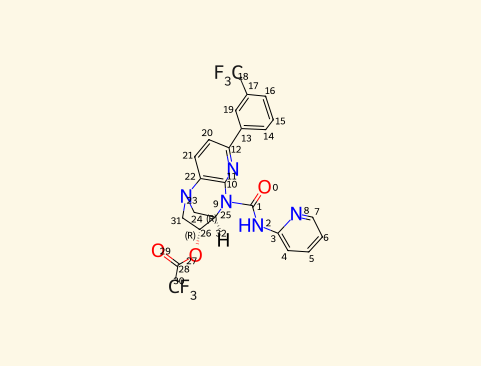 O=C(Nc1ccccn1)N1c2nc(-c3cccc(C(F)(F)F)c3)ccc2N2C[C@@H]1[C@H](OC(=O)C(F)(F)F)C2